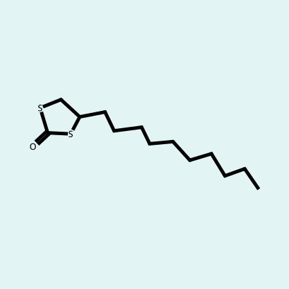 CCCCCCCCCCC1CSC(=O)S1